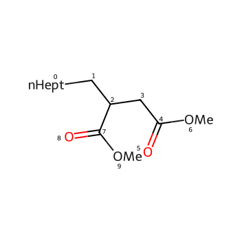 CCCCCCCCC(CC(=O)OC)C(=O)OC